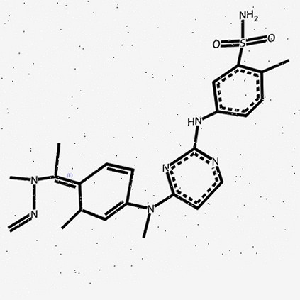 C=NN(C)/C(C)=C1/C=CC(N(C)c2ccnc(Nc3ccc(C)c(S(N)(=O)=O)c3)n2)=CC1C